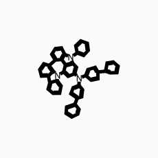 c1ccc(-c2ccc(N(c3ccc(-c4ccccc4)cc3)c3cc4c5c6c(cccc6n4-c4ccccc4)c4cccc6c7ccccc7n(c5c3)c46)cc2)cc1